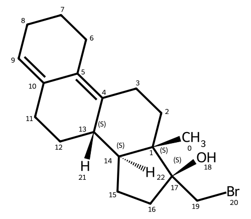 C[C@]12CCC3=C4CCCC=C4CC[C@H]3[C@@H]1CC[C@@]2(O)CBr